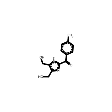 Cc1ccc(C(=O)c2nc(CO)c(CO)[nH]2)cc1